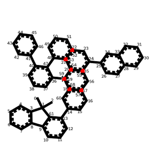 CC1(C)c2ccccc2-c2cccc(-c3cccc(N(c4cccc(-c5ccc6ccccc6c5)c4)c4cccc(-c5ccccc5)c4-c4ccccc4-c4ccccc4)c3)c21